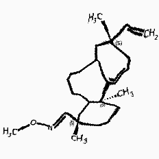 C=C[C@]1(C)CC=C2C(CCC3[C@@](C)(C=NOC)CCC[C@]23C)C1